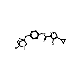 O=C(Nc1ccc(C[C@]23CN[C@H](CO2)C3)cc1)c1[nH]nc(C2CC2)c1Cl